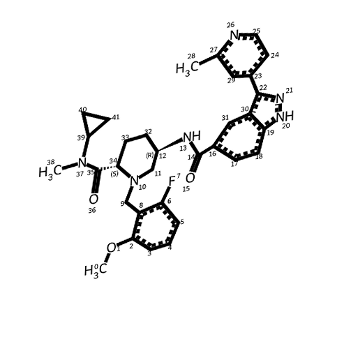 COc1cccc(F)c1CN1C[C@H](NC(=O)c2ccc3[nH]nc(-c4ccnc(C)c4)c3c2)CC[C@H]1C(=O)N(C)C1CC1